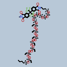 C=C[Si](C)(OO[Si](C)(C=C)OO[Si](C)(C=C)OO[Si](C)(C=C)O[Si](C)(C)CCCC)OO[Si](C)(C=C)OO[Si](C)(C=C)OO[Si](C)(C=C)O[Si](C)(C)O[Si](C)(C)O[Si](C)(C)O[Si](C)(C)O[Si](C)(C)O[Si](C)(C)O[Si](C)(C)CCCN1C(=O)c2ccc(C(c3ccc4c(c3)C(=O)N(C)C4=O)(C(F)(F)F)C(F)(F)F)cc2C1=O